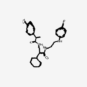 CC(C(=O)NCC(C(=O)NCCNc1ccc(F)cc1)C1CCCCC1)c1ccc(Cl)cc1